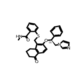 CNC(=O)c1ccccc1SCc1c(O[C@H](Cn2ccnc2)c2ccccc2)ccc2c1CCCC2=O